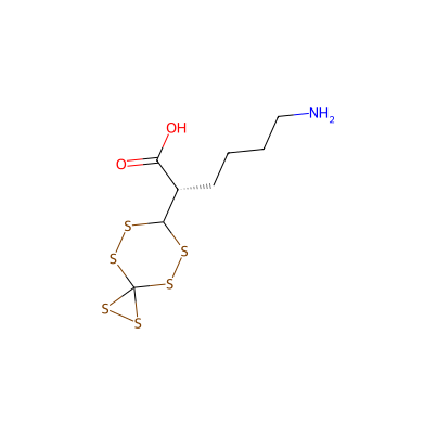 NCCCC[C@@H](C(=O)O)C1SSC2(SS1)SS2